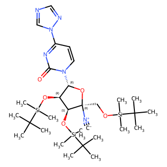 [C-]#[N+][C@]1(CO[Si](C)(C)C(C)(C)C)O[C@@H](n2ccc(-n3cncn3)nc2=O)[C@H](O[Si](C)(C)C(C)(C)C)[C@@H]1O[Si](C)(C)C(C)(C)C